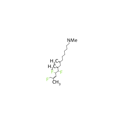 C=C(CCCCCCCNC)CC(=C)C(F)C(F)/C=C(/C)CF